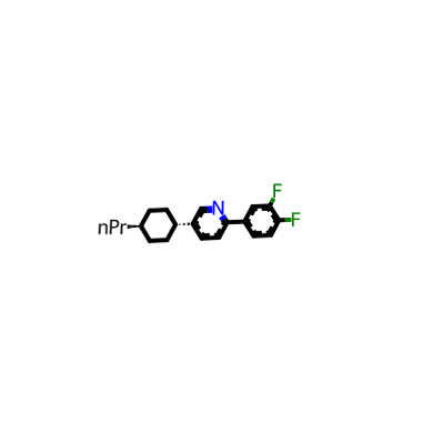 CCC[C@H]1CC[C@H](c2ccc(-c3ccc(F)c(F)c3)nc2)CC1